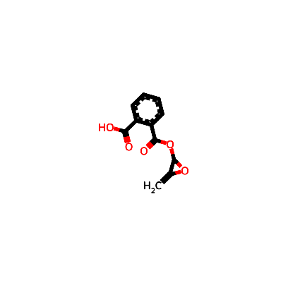 C=C1OC1OC(=O)c1ccccc1C(=O)O